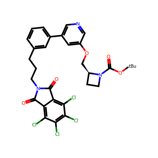 CC(C)(C)OC(=O)N1CC[C@H]1COc1cncc(-c2cccc(CCCN3C(=O)c4c(Cl)c(Cl)c(Cl)c(Cl)c4C3=O)c2)c1